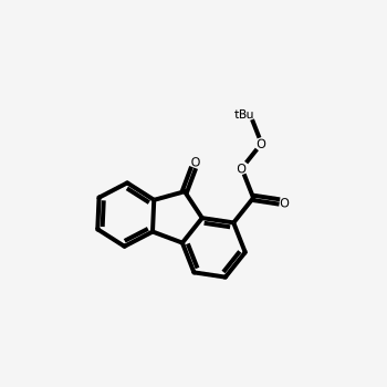 CC(C)(C)OOC(=O)c1cccc2c1C(=O)c1ccccc1-2